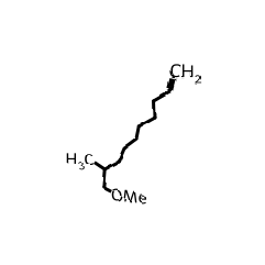 C=CCCCCCCC(C)COC